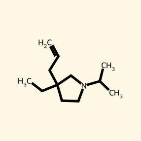 C=CCC1(CC)CCN(C(C)C)C1